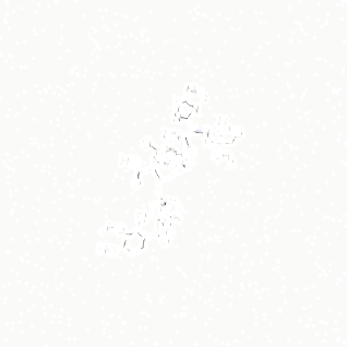 CC(C)(C=O)O/N=C(\C(=O)N[C@@H]1C(=O)N2C(C(=O)O)=C(C[N@@+]34CC[C@@H](C3)N(C(=O)c3ccc(O)c(O)c3Cl)CC4)C[S+]([O-])[C@H]12)c1nsc(N)n1